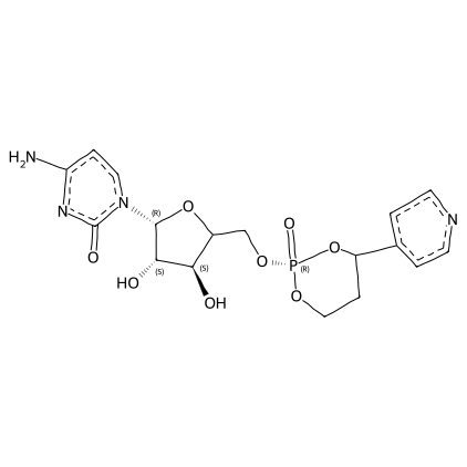 Nc1ccn([C@@H]2OC(CO[P@@]3(=O)OCCC(c4ccncc4)O3)[C@@H](O)[C@@H]2O)c(=O)n1